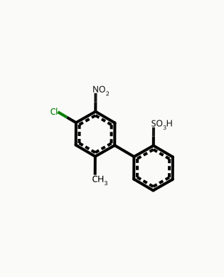 Cc1cc(Cl)c([N+](=O)[O-])cc1-c1ccccc1S(=O)(=O)O